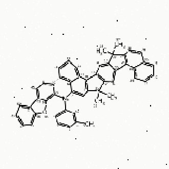 Cc1cccc(N(c2cc3c(c4ccccc24)-c2cc4c(cc2C3(C)C)-c2c(ccc3ccccc23)C4(C)C)c2cccc3c2oc2ccccc23)c1